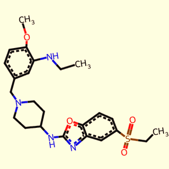 CCNc1cc(CN2CCC(Nc3nc4cc(S(=O)(=O)CC)ccc4o3)CC2)ccc1OC